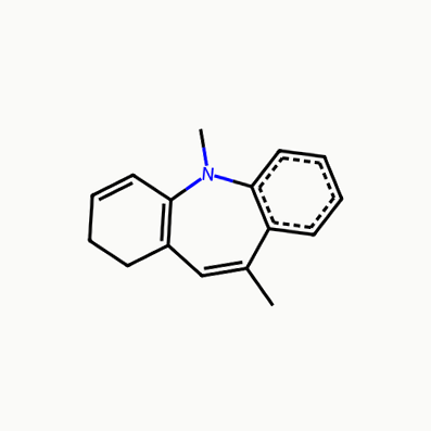 CC1=CC2=C(C=CCC2)N(C)c2ccccc21